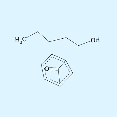 CCCCCO.O=C1c2cccc1c2